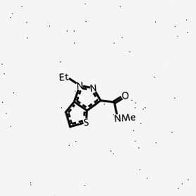 CCn1nc(C(=O)NC)c2sccc21